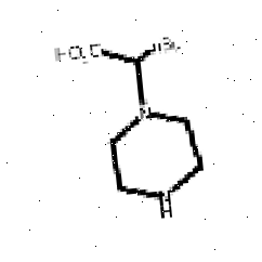 CCCCC(C(=O)O)N1CCNCC1